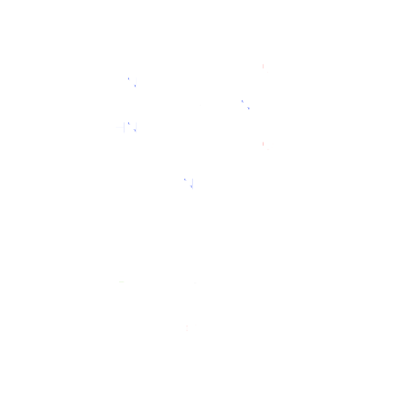 O=C1CCCN(c2[nH]ncc2[N+](=O)[O-])CC1F